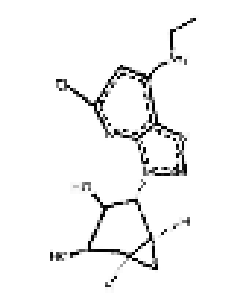 CCNc1cc(Cl)nc2c1ncn2[C@H]1[C@H](O)[C@H](O)[C@@H]2C[C@@H]21